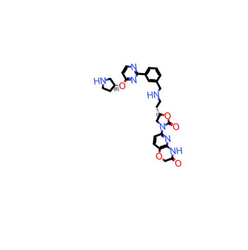 O=C1COc2ccc(N3C[C@H](CCNCc4cccc(-c5nccc(O[C@@H]6CCNC6)n5)c4)OC3=O)nc2N1